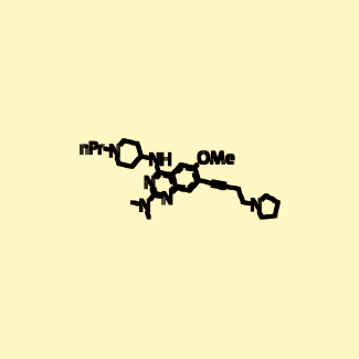 CCCN1CCC(Nc2nc(N(C)C)nc3cc(C#CCCN4CCCC4)c(OC)cc23)CC1